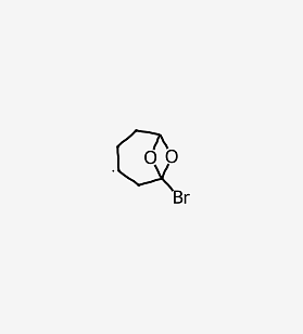 BrC12C[CH]CCC(O1)O2